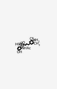 CC(=O)Nc1cc(O)ccc1[As](=O)(O)OC(=O)C=CCc1cc(C)c(N)c(C(F)(F)F)c1